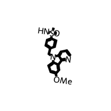 COc1ccc2c(c1)c1ncccc1n2Cc1ccc(S(C)(=N)=O)cc1